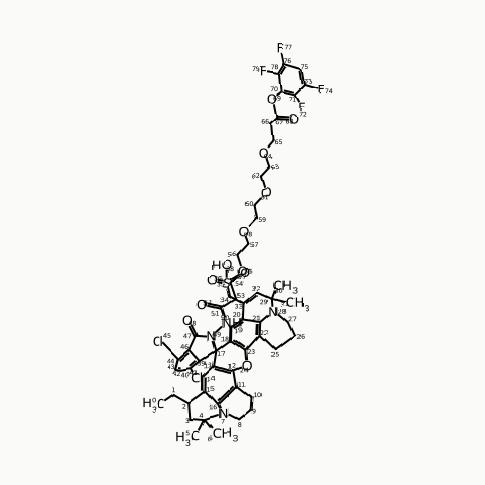 CCC1CC(C)(C)N2CCCc3c4c(cc1c32)C1(c2cc3c5c(c2O4)CCCN5C(C)(C)C=C3CS(=O)(=O)O)c2c(Cl)ccc(Cl)c2C(=O)N1NC(=O)CCOCCOCCOCCOCCC(=O)Oc1c(F)c(F)cc(F)c1F